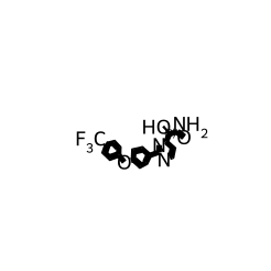 NC(=O)[C@H](O)c1ccnc(-c2ccc(Oc3ccc(C(F)(F)F)cc3)cc2)n1